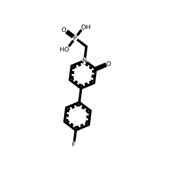 O=c1cc(-c2ccc(F)cc2)ccn1CP(=O)(O)O